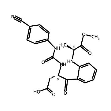 COC(=O)[C@H](C)Nc1ccccc1C(=O)[C@H](CC(=O)O)NC(=O)Nc1ccc(C#N)cc1